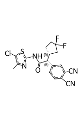 Cc1nc(NC(=O)[C@@H](c2ccc(C#N)c(C#N)c2)[C@@H]2CCC(F)(F)C2)sc1Cl